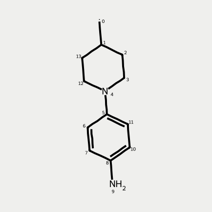 [CH2]C1CCN(c2ccc(N)cc2)CC1